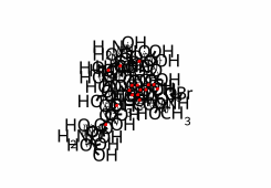 CC1C(O)[C@H](O[C@@H]2OC(CO[C@]3(C(=O)O)C[C@@H](O)[C@@H](N)C([C@H](O)C(O)CO)O3)[C@H](O)C(O)[C@@H]2O)[C@H](CO)O[C@H]1O[C@@H]1C(O)[C@H](O)C(CO)O[C@@H]1OCC(O[C@H](CO)O[C@@H]1C(CO)O[C@@H](O[C@@H]2C(CO)O[C@@H](NC(=O)CBr)[C@@H](C)C2O)[C@@H](C)C1O)[C@@H](O)[C@@H](C)O[C@H]1O[C@H](CO)[C@@H](O)C(O)C1O[C@@H]1OC(CO)[C@@H](O[C@@H]2OC(CO[C@]3(C(=O)O)C[C@@H](O)[C@@H](N)C([C@H](O)C(O)CO)O3)[C@H](O)C(O)[C@@H]2O)C(O)[C@@H]1C